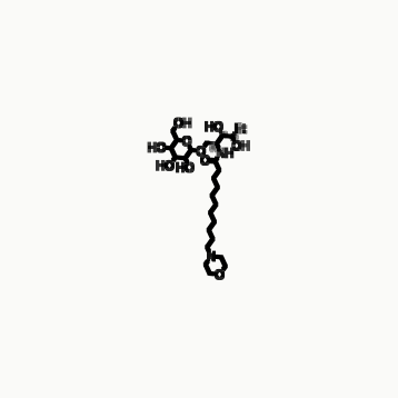 CC[C@@H](O)[C@@H](O)[C@H](COC1OC(CO)C(O)C(O)C1O)NC(=O)CCCCCCCCCCN1CCOCC1